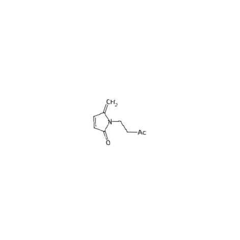 C=C1C=CC(=O)N1CCC(C)=O